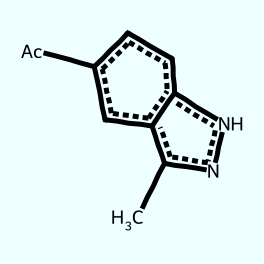 CC(=O)c1ccc2[nH]nc(C)c2c1